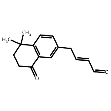 CC1(C)CCC(=O)c2cc(C/C=C/C=O)ccc21